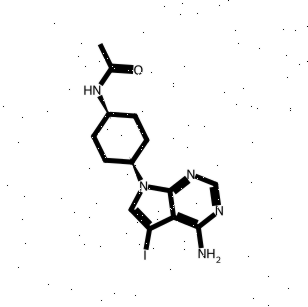 CC(=O)N[C@H]1CC[C@@H](n2cc(I)c3c(N)ncnc32)CC1